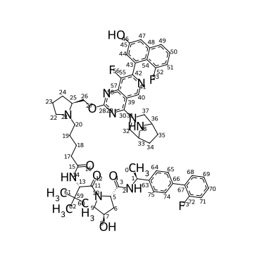 C[C@H](NC(=O)[C@@H]1C[C@@H](O)CN1C(=O)[C@@H](NC(=O)CCCCN1CCC[C@H]1COc1nc(N2CC3CCC(C2)N3)c2cnc(-c3cc(O)cc4cccc(F)c34)c(F)c2n1)C(C)(C)C)c1ccc(-c2ccccc2F)cc1